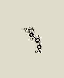 CC(C)(C)Bc1ccc(C(C)(C)c2ccc(Oc3ccc([SH](=O)=O)cc3)cc2)cc1